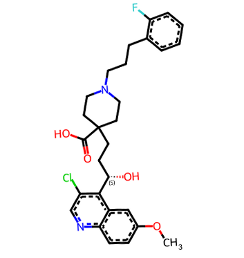 COc1ccc2ncc(Cl)c([C@@H](O)CCC3(C(=O)O)CCN(CCCc4ccccc4F)CC3)c2c1